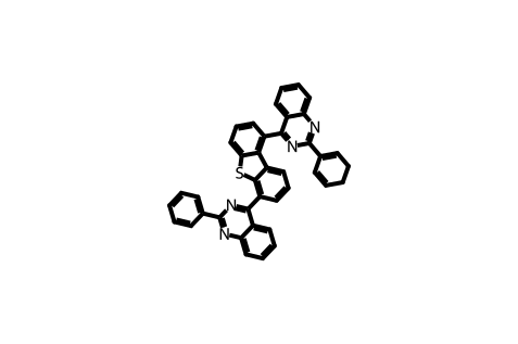 C1=CC(c2nc(-c3cccc4sc5c(-c6nc(-c7ccccc7)nc7ccccc67)cccc5c34)c3ccccc3n2)=CCC1